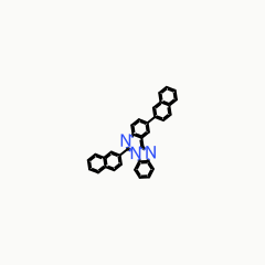 c1ccc2cc(-c3ccc4nc(-c5ccc6ccccc6c5)n5c6ccccc6nc5c4c3)ccc2c1